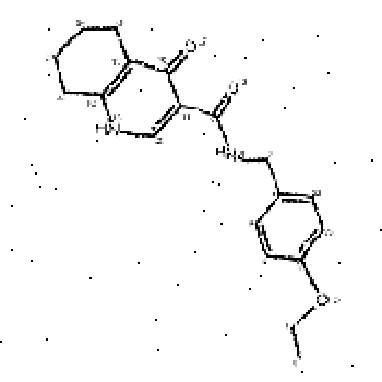 CCOc1ccc(CNC(=O)c2c[nH]c3c(c2=O)CCCC3)cc1